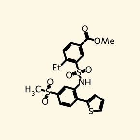 CCc1ccc(C(=O)OC)cc1S(=O)(=O)Nc1cc(S(C)(=O)=O)ccc1-c1cccs1